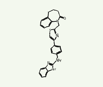 O=C1CC[C]c2ccccc2N1Cc1nc(-c2ccc(Nc3nc4ccccc4[nH]3)cc2)cs1